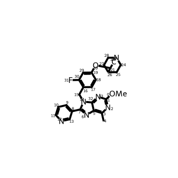 COc1nc(C)c2nc(-c3cccnc3)n(Cc3ccc(OC4CN5CCC4CC5)cc3F)c2n1